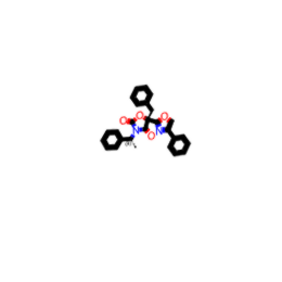 C[C@H](c1ccccc1)N1C(=O)O[C@](Cc2ccccc2)(c2nc(-c3ccccc3)co2)C1=O